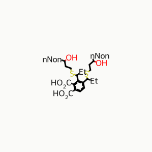 CCCCCCCCCC(O)CCSC(CC)c1ccc(C(=O)O)c(C(=O)O)c1C(CC)SCCC(O)CCCCCCCCC